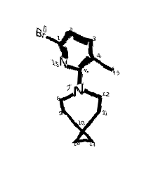 Brc1ccc(I)c(N2CCC3(CC2)CC3)n1